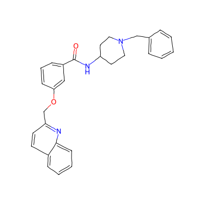 O=C(NC1CCN(Cc2ccccc2)CC1)c1cccc(OCc2ccc3ccccc3n2)c1